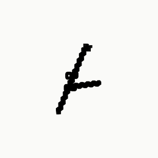 CCCCCCCCCOC(CCC(=O)OCCCCCCCCCBr)OCCCCCCCCC